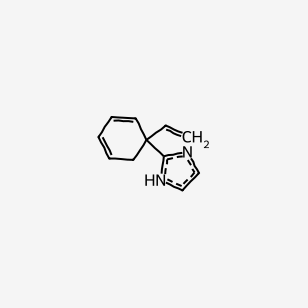 C=CC1(c2ncc[nH]2)C=CC=CC1